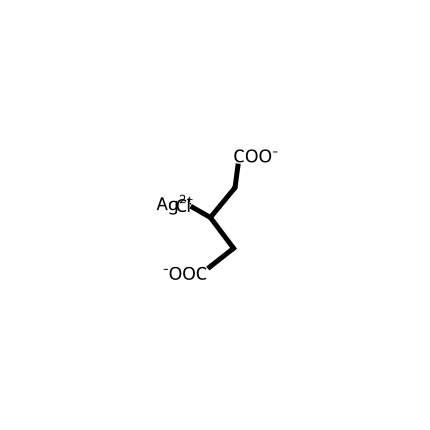 O=C([O-])CC(Cl)CC(=O)[O-].[Ag+2]